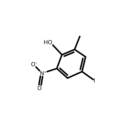 Cc1cc(I)cc([N+](=O)[O-])c1O